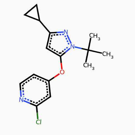 CC(C)(C)n1nc(C2CC2)cc1Oc1ccnc(Cl)c1